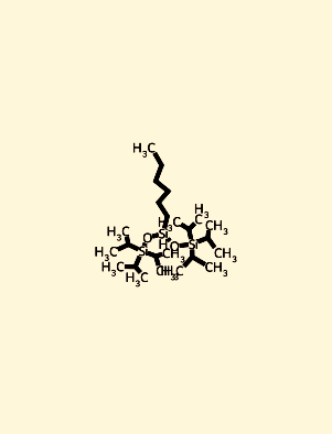 CCCCCC[SiH](O[Si](C(C)C)(C(C)C)C(C)C)O[Si](C(C)C)(C(C)C)C(C)C